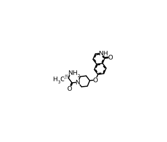 C[C@H](N)C(=O)N1CCC(Oc2ccc3c(=O)[nH]ccc3c2)CC1